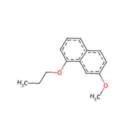 CCCOc1cccc2ccc(OC)cc12